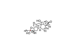 [2H]C1=C2C([2H])([2H])C[C@@H]3[C@H]([C@@H](O)C[C@@]4(C)[C@H]3C[C@H]3OC(CCC)O[C@]34C(=O)CO)[C@@]2(C)C=CC1=O